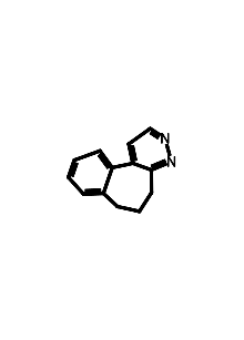 c1ccc2c(c1)CCCc1nnccc1-2